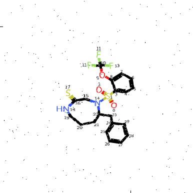 O=S(=O)(c1ccccc1OC(F)(F)F)N1CC(=S)NCCCC1Cc1ccccc1